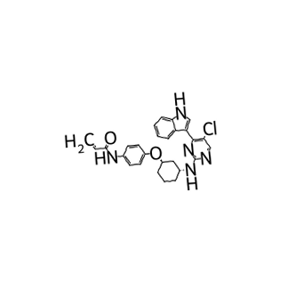 C=CC(=O)Nc1ccc(O[C@@H]2CCC[C@@H](Nc3ncc(Cl)c(-c4c[nH]c5ccccc45)n3)C2)cc1